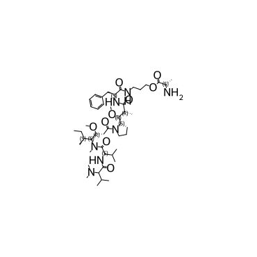 CC[C@H](C)[C@@H]([C@@H](CC(=O)N1CCC[C@H]1[C@H](OC)[C@@H](C)C(=O)N[C@@H](Cc1ccccc1)C(=O)NCCCOC(=O)[C@H](C)N)OC)N(C)C(=O)[C@@H](NC(=O)C(C(C)C)N(C)C)C(C)C